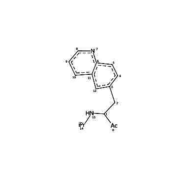 CC(=O)C(Cc1ccc2ncccc2c1)NC(C)C